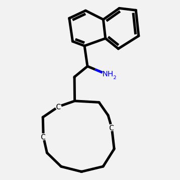 NC(CC1CCCCCCCCCCC1)c1cccc2ccccc12